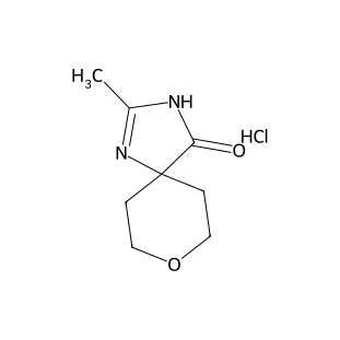 CC1=NC2(CCOCC2)C(=O)N1.Cl